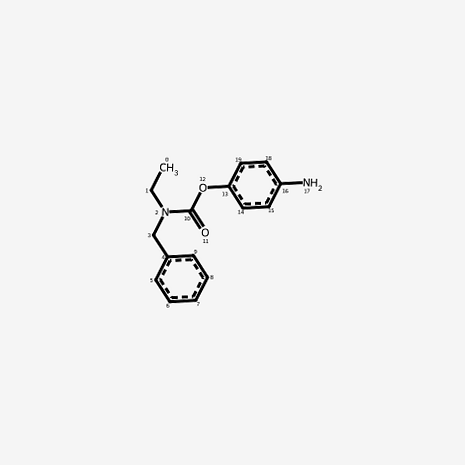 CCN(Cc1ccccc1)C(=O)Oc1ccc(N)cc1